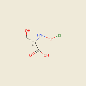 O=C(O)[C@H](CO)NOCl